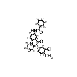 Cc1ccc(NC(=O)c2cc(NC(=O)c3ccccc3)ccc2N2CCOCC2)cc1Cl